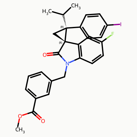 COC(=O)c1cccc(CN2C(=O)[C@@]3(C[C@]3(c3ccc(I)cc3)C(C)C)c3cc(F)ccc32)c1